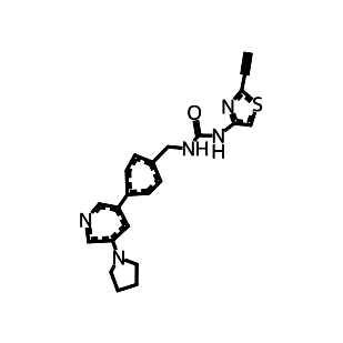 C#Cc1nc(NC(=O)NCc2ccc(-c3cncc(N4CCCC4)c3)cc2)cs1